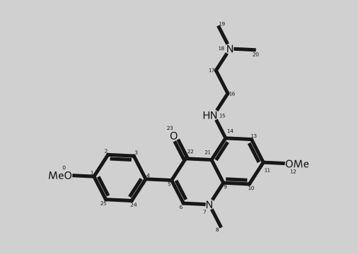 COc1ccc(-c2cn(C)c3cc(OC)cc(NCCN(C)C)c3c2=O)cc1